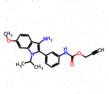 C#CCOC(=O)Nc1cccc(-c2c(N)c3ccc(OC)cc3n2C(C)C)c1